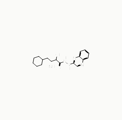 N[C@H](CC1CCCCC1)C(O)C(=O)NNc1cnc2ccccc2n1